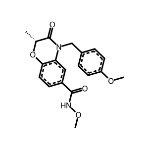 CONC(=O)c1ccc2c(c1)N(Cc1ccc(OC)cc1)C(=O)[C@@H](C)O2